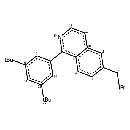 CC(C)Cc1ccc2c(-c3cc(C(C)(C)C)cc(C(C)(C)C)c3)nccc2c1